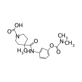 CN(C)C(=O)Oc1cccc(NC(=O)C2(C)CCN(C(=O)O)CC2)c1